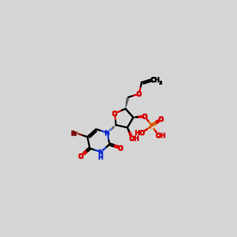 C=COC[C@H]1O[C@@H](n2cc(Br)c(=O)[nH]c2=O)[C@H](O)[C@@H]1OP(=O)(O)O